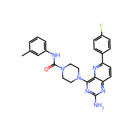 Cc1cccc(NC(=O)N2CCN(c3nc(N)nc4ccc(-c5ccc(F)cc5)nc34)CC2)c1